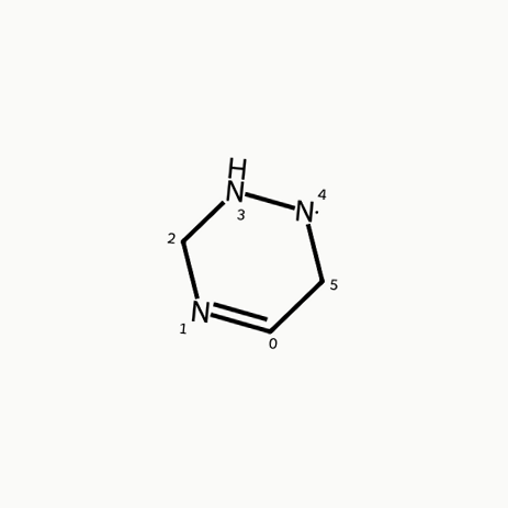 C1=NCN[N]C1